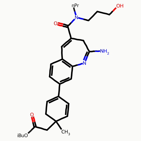 CCCN(CCCO)C(=O)C1=Cc2ccc(C3=CCC(C)(CC(=O)OCC(C)C)C=C3)cc2N=C(N)C1